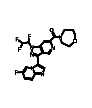 O=C(c1cc2c(cn1)c(-c1cnc3ccc(F)cn13)nn2C(F)C(F)F)N1CCCOCC1